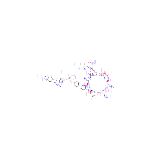 Cc1cc2c(F)c(Oc3ncnn4cc(OC[C@@H](C)OC(=O)c5ccc(-c6ccc(C[C@H]7NC(=O)C(CCN)NC(=O)[C@@H](NC(=O)[C@H](CCN)NC(=O)[C@@H](N)[C@@H](C)O)CCNC(=O)[C@H](C(C)O)NC(=O)[C@H](CCN)NC(=O)[C@H](CCN)NC(=O)[C@H](CC(C)C)NC7=O)cc6)cc5)c(C)c34)ccc2[nH]1